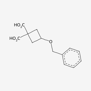 O=C(O)C1(C(=O)O)CC(OCc2ccccc2)C1